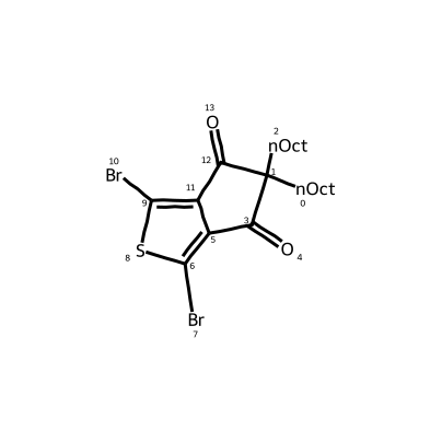 CCCCCCCCC1(CCCCCCCC)C(=O)c2c(Br)sc(Br)c2C1=O